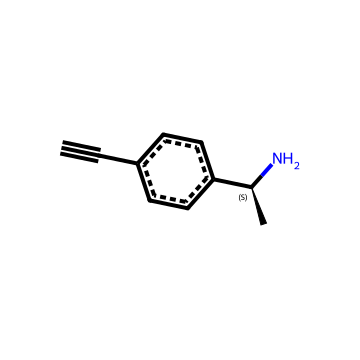 C#Cc1ccc([C@H](C)N)cc1